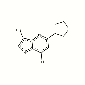 Bc1cnn2c(Cl)cc(C3CCOC3)nc12